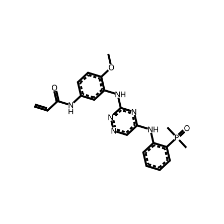 C=CC(=O)Nc1ccc(OC)c(Nc2nncc(Nc3ccccc3P(C)(C)=O)n2)c1